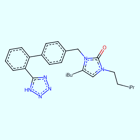 CCC(C)c1cn(CCC(C)C)c(=O)n1Cc1ccc(-c2ccccc2-c2nnn[nH]2)cc1